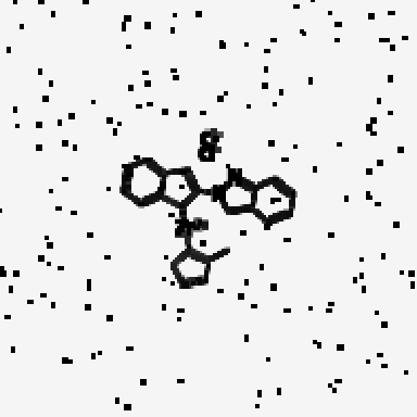 CC1=[C]([Zr+2][CH]2C(n3cc4ccccc4n3)=Cc3ccccc32)CC=C1.[Cl-].[Cl-]